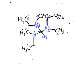 CCN(C)C([N])(N(C)CC)N(C)CC